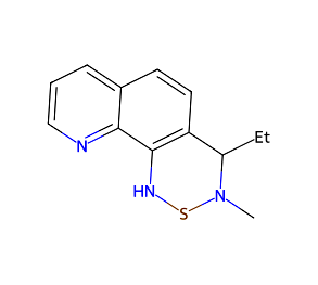 CCC1c2ccc3cccnc3c2NSN1C